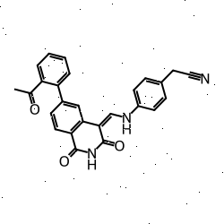 CC(=O)c1ccccc1-c1ccc2c(c1)C(=CNc1ccc(CC#N)cc1)C(=O)NC2=O